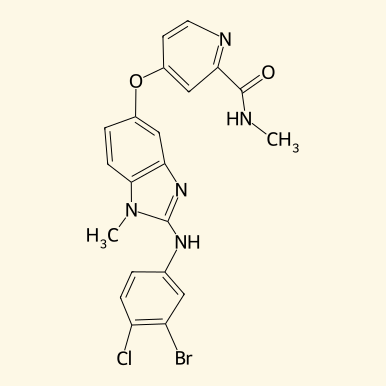 CNC(=O)c1cc(Oc2ccc3c(c2)nc(Nc2ccc(Cl)c(Br)c2)n3C)ccn1